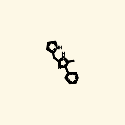 Cc1[nH]c(Cc2ccc[nH]2)nc1-c1ccccc1